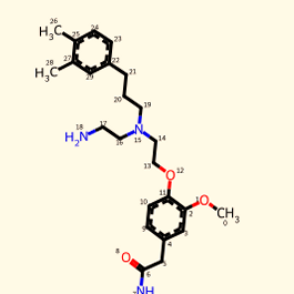 COc1cc(CC(N)=O)ccc1OCCN(CCN)CCCc1ccc(C)c(C)c1